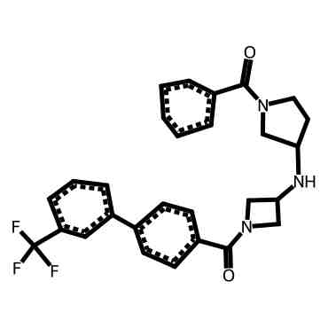 O=C(c1ccccc1)N1CCC(NC2CN(C(=O)c3ccc(-c4cccc(C(F)(F)F)c4)cc3)C2)C1